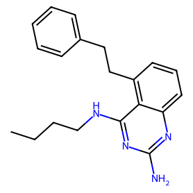 CCCCNc1nc(N)nc2cccc(CCc3ccccc3)c12